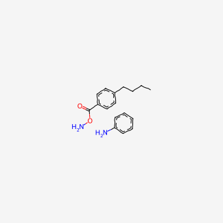 CCCCc1ccc(C(=O)ON)cc1.Nc1ccccc1